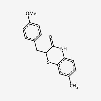 COc1ccc(CC2Sc3cc(C)ccc3NC2=O)cc1